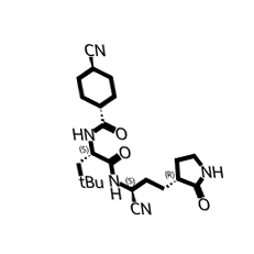 CC(C)(C)C[C@H](NC(=O)[C@H]1CC[C@H](C#N)CC1)C(=O)N[C@H](C#N)CC[C@@H]1CCNC1=O